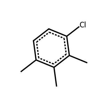 Cc1ccc(Cl)c(C)c1C